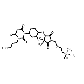 CCCCN1C(=O)CC(=O)N(C2CCC(OC3C(=O)N(COCC[Si](C)(C)C)C(=O)C3(C)C)CC2)C1=O